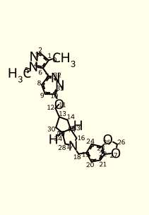 Cc1cnn(C)c1-c1ccc(OCC2C[C@@H]3CN(Cc4ccc5c(c4)OCO5)C[C@@H]3C2)nn1